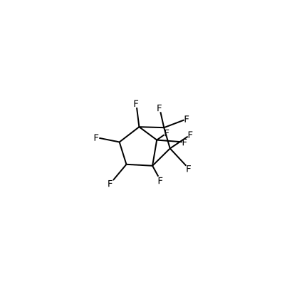 FC1C(F)C2(F)C(F)(F)C(F)(F)C1(F)C2(F)F